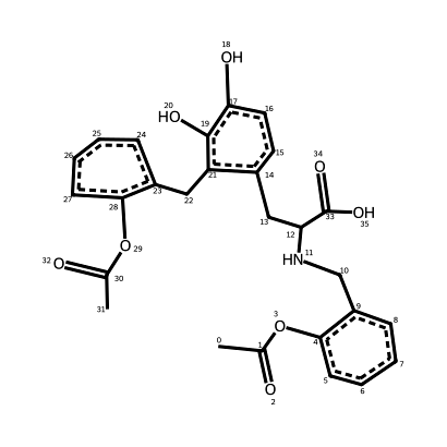 CC(=O)Oc1ccccc1CNC(Cc1ccc(O)c(O)c1Cc1ccccc1OC(C)=O)C(=O)O